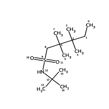 CCC(C)(C)C(C)(C)CS(=O)(=O)NC(C)(C)C